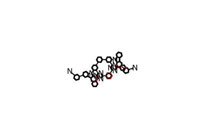 N#Cc1cccc(-c2ccc3c(c2)c2ccccc2n3-c2ccc(-c3cccc(-c4ccc(-n5c6ccccc6c6cc(-c7cccc(C#N)c7)ccc65)c(-c5nc(-c6ccccc6)nc(-c6ccccc6)n5)c4)c3)cc2-c2nc(-c3ccccc3)nc(-c3ccccc3)n2)c1